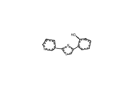 Oc1ccccc1-c1csc(-c2cccnc2)n1